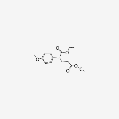 CCOC(=O)CCC(C(=O)OCC)c1ccc(OC)cc1